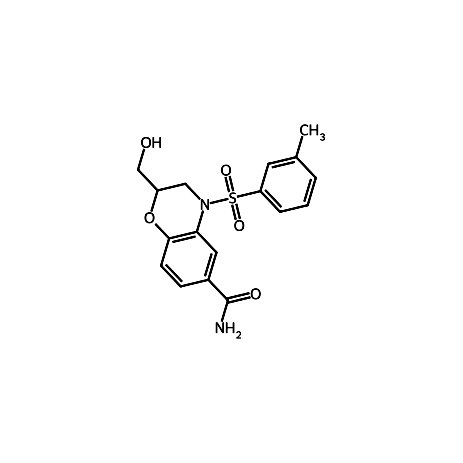 Cc1cccc(S(=O)(=O)N2CC(CO)Oc3ccc(C(N)=O)cc32)c1